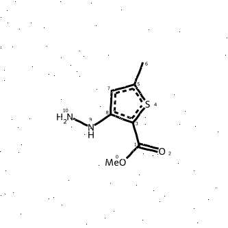 COC(=O)c1sc(C)cc1NN